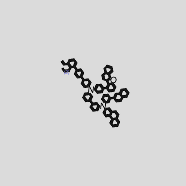 C=Cc1cccc(-c2ccc(-c3ccc(N(c4ccc(-c5cccc6oc7c8ccccc8ccc7c56)cc4)c4cccc(-c5cccc(N(c6cccc(-c7ccc8ccccc8c7)c6)c6ccc7c(ccc8ccccc87)c6)c5)c4)cc3)cc2)c1/C=C\C